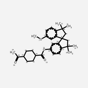 COc1ccc2c(c1)C1(CC2(C)C)CC(C)(C)c2ccc(OC(=O)C3CCC(C(C)=O)CC3)cc21